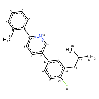 Cc1ccccc1-c1ccc(-c2ccc(F)c(CC(C)C)c2)cn1